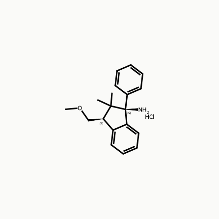 COC[C@@H]1c2ccccc2[C@@](N)(c2ccccc2)C1(C)C.Cl